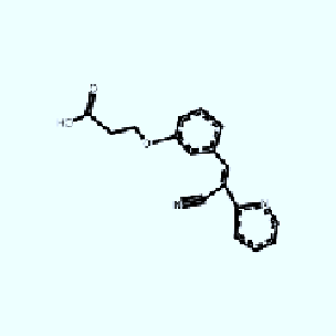 N#CC(=Cc1cccc(OCCC(=O)O)c1)c1ccccn1